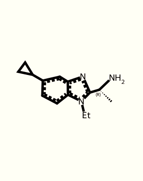 CCn1c([C@@H](C)N)nc2cc(C3CC3)ccc21